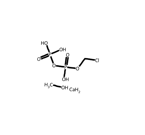 CO.O=P(O)(O)OP(=O)(O)OCCl.[CaH2]